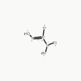 CCN(/[N+]([O-])=N/O)C(C)(C)C